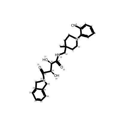 [C-]#[N+]c1ccccc1N1CCC(C)(CNC(=O)[C@H](O)[C@@H](O)C(=O)N2Cc3ccccc3C2)CC1